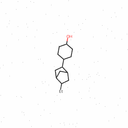 CCC1CC2CC1CC2C1CCC(O)CC1